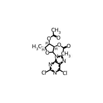 CC(=O)O[C@@H]1[C@@H](C)OC(n2cnc3c(Cl)nc(Cl)nc32)[C@@H]1OC(C)=O